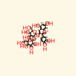 OCC1O[C@@H](Oc2cc3c(O)cc(O)cc3[o+]c2-c2ccc(O)c(O)c2)C(O[C@@H]2OC(CO)[C@H](O)[C@H](O)C2O)[C@@H](O)[C@@H]1O